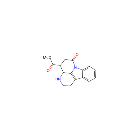 COC(=O)C1CC(=O)n2c3c(c4ccccc42)CCNC31